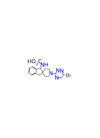 O=C(O)N[C@@H]1c2ccccc2CC12CCN(c1ncc(Br)nn1)CC2